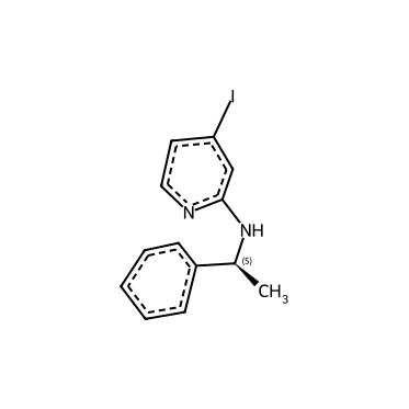 C[C@H](Nc1cc(I)ccn1)c1ccccc1